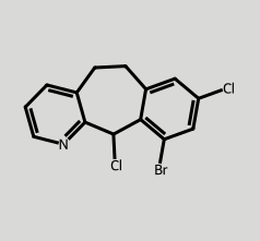 Clc1cc(Br)c2c(c1)CCc1cccnc1C2Cl